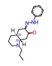 CCCN1CCC[C@H]2CC(=NNc3ccccc3)C(=O)C[C@@H]21